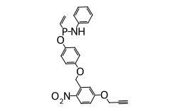 C#CCOc1ccc([N+](=O)[O-])c(COc2ccc(OP(C=C)Nc3ccccc3)cc2)c1